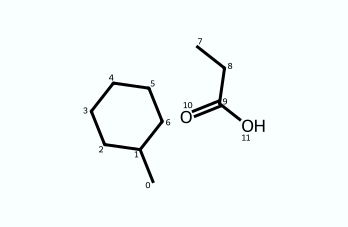 CC1CCCCC1.CCC(=O)O